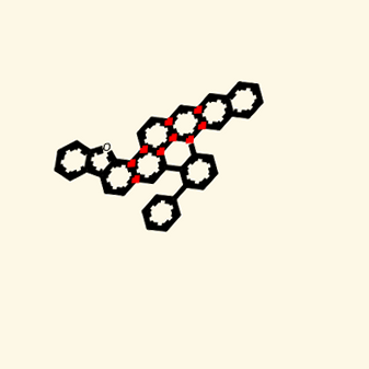 c1ccc(-c2ccccc2-c2c(-c3ccccc3)cccc2N(c2cccc(-c3cccc4c3oc3ccccc34)c2)c2ccc3ccccc3c2)cc1